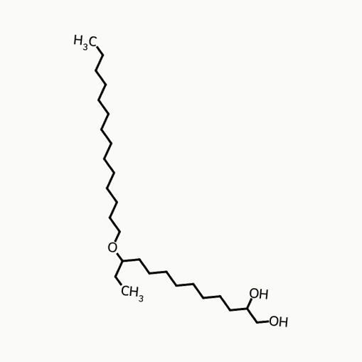 CCCCCCCCCCCCCCOC(CC)CCCCCCCCC(O)CO